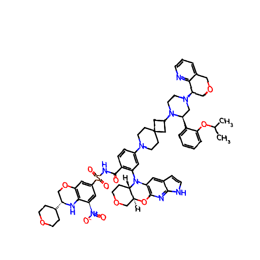 CC(C)Oc1ccccc1[C@@H]1CN([C@@H]2COCc3cccnc32)CCN1C1CC2(CCN(c3ccc(C(=O)NS(=O)(=O)c4cc5c(c([N+](=O)[O-])c4)N[C@H](C4CCOCC4)CO5)c(N4c5cc6cc[nH]c6nc5O[C@H]5COCC[C@@H]54)c3)CC2)C1